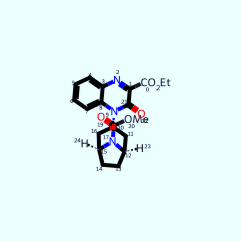 CCOC(=O)c1nc2ccccc2n([C@@H]2C[C@H]3CC[C@@H](C2)N3C(=O)OC)c1=O